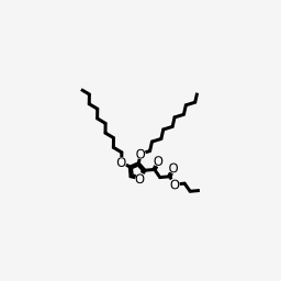 CCCCCCCCCCOc1coc(C(=O)CC(=O)OCCC)c1OCCCCCCCCCC